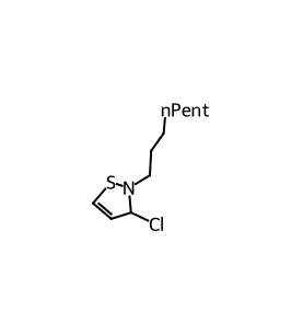 CCCCCCCCN1SC=CC1Cl